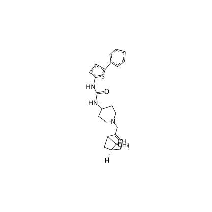 CC1(C)C2C[C@@H]1CC=C2CN1CCC(NC(=O)Nc2ccc(-c3ccccc3)s2)CC1